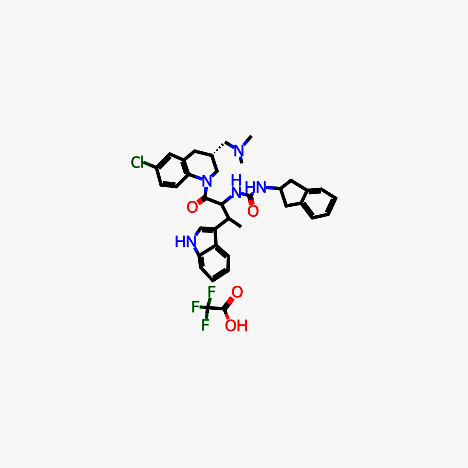 CC(c1c[nH]c2ccccc12)C(NC(=O)NC1Cc2ccccc2C1)C(=O)N1C[C@@H](CN(C)C)Cc2cc(Cl)ccc21.O=C(O)C(F)(F)F